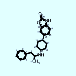 CC(Cc1ccccc1)N[C@H]1CC[C@H](c2ccc3[nH]c(=O)oc3c2)CC1